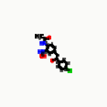 CC(=O)Nc1ccc(CC(=O)c2ccc(Cl)cc2)cc1NO